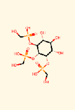 O=P(O)(CO)O[C@@H]1[C@@H](OP(=O)(O)CO)[C@H](O)[C@@H](O)[C@H](O)[C@@H]1OP(=O)(O)CO